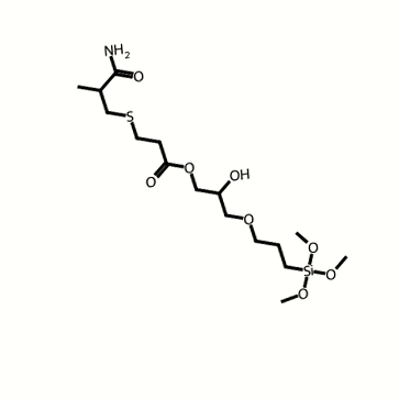 CO[Si](CCCOCC(O)COC(=O)CCSCC(C)C(N)=O)(OC)OC